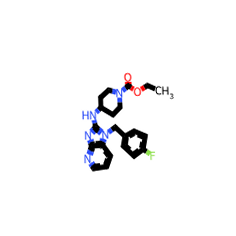 CCOC(=O)N1CCC(Nc2nc3ncccc3n2Cc2ccc(F)cc2)CC1